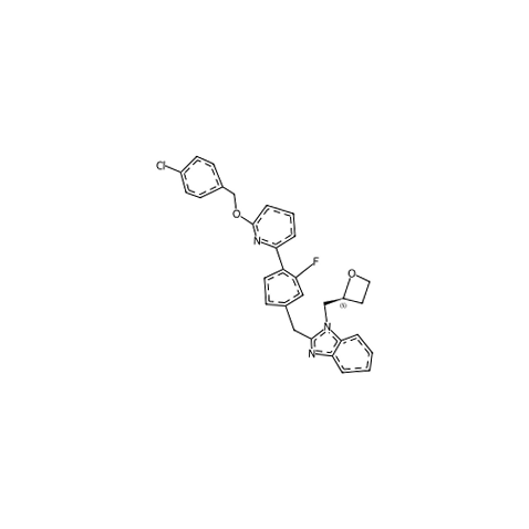 Fc1cc(Cc2nc3ccccc3n2C[C@@H]2CCO2)ccc1-c1cccc(OCc2ccc(Cl)cc2)n1